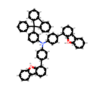 c1ccc(C2(c3cccc(N(c4ccc(-c5cccc6c5oc5ccccc56)cc4)c4ccc(-c5cccc6c5oc5ccccc56)cc4)c3)c3ccccc3-c3ccccc32)cc1